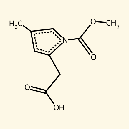 COC(=O)n1cc(C)cc1CC(=O)O